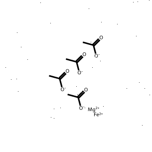 CC(=O)[O-].CC(=O)[O-].CC(=O)[O-].CC(=O)[O-].[Fe+2].[Mg+2]